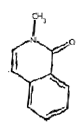 Cn1c[c]c2ccccc2c1=O